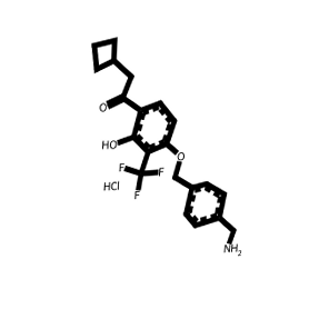 Cl.NCc1ccc(COc2ccc(C(=O)CC3CCC3)c(O)c2C(F)(F)F)cc1